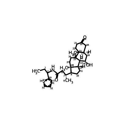 CCC(NC(=O)C[C@@H](C)C1CC[C@H]2[C@@H]3[C@H](O)C[C@@H]4CC(=O)CC[C@]4(C)[C@H]3CC[C@]12C)c1cccs1